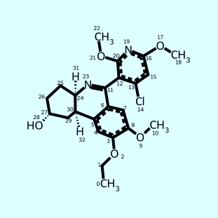 CCOc1cc2c(cc1OC)C(c1c(Cl)cc(OC)nc1OC)=N[C@@H]1CC[C@@H](O)C[C@H]21